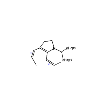 C/C=C\C1=C(/C=C\C)N(C(CCCCCCC)CCCCCCC)CC1